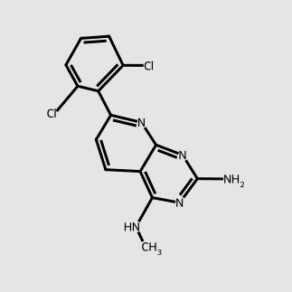 CNc1nc(N)nc2nc(-c3c(Cl)cccc3Cl)ccc12